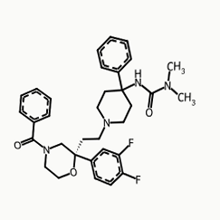 CN(C)C(=O)NC1(c2ccccc2)CCN(CC[C@@]2(c3ccc(F)c(F)c3)CN(C(=O)c3ccccc3)CCO2)CC1